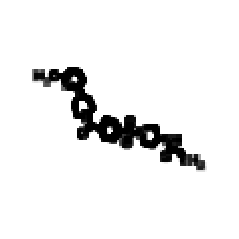 C=CC(=O)NC1CCN(S(=O)(=O)c2ccc(C(=O)N3CCN(c4cccc(C)n4)CC3)cc2)CC1